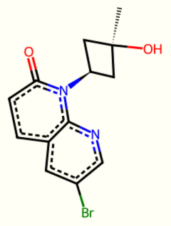 C[C@]1(O)C[C@@H](n2c(=O)ccc3cc(Br)cnc32)C1